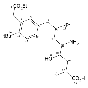 CCOC(=O)Cc1cc(CC(CC(N)C(O)CC(C)C(=O)O)C(C)C)ccc1C(C)(C)C